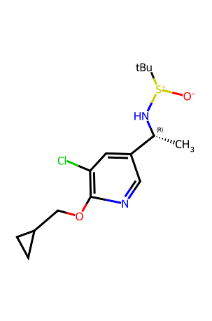 C[C@@H](N[S+]([O-])C(C)(C)C)c1cnc(OCC2CC2)c(Cl)c1